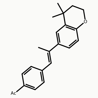 CC(=O)c1ccc(/C=C(\C)c2ccc3c(c2)C(C)(C)CCO3)cc1